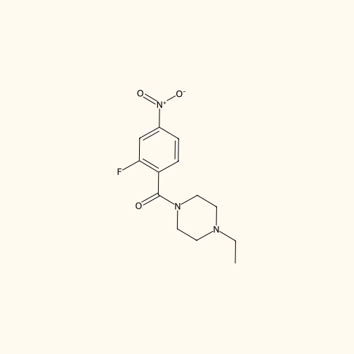 CCN1CCN(C(=O)c2ccc([N+](=O)[O-])cc2F)CC1